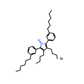 CCCCCCc1cccc(C2=C(CCCC)C(CCCC)=C(c3cccc(CCCCCC)c3)[N+]2=[N-])c1.[Ni]